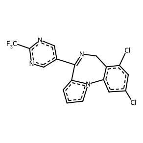 FC(F)(F)c1ncc(C2=NCc3c(Cl)cc(Cl)cc3-n3cccc32)cn1